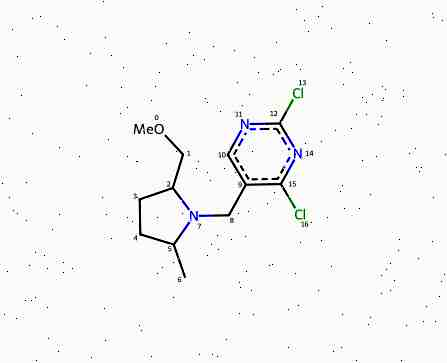 COCC1CCC(C)N1Cc1cnc(Cl)nc1Cl